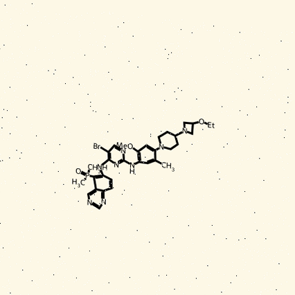 CCOC1CN(C2CCN(c3cc(OC)c(Nc4ncc(Br)c(Nc5ccc6ncncc6c5P(C)(C)=O)n4)cc3C)CC2)C1